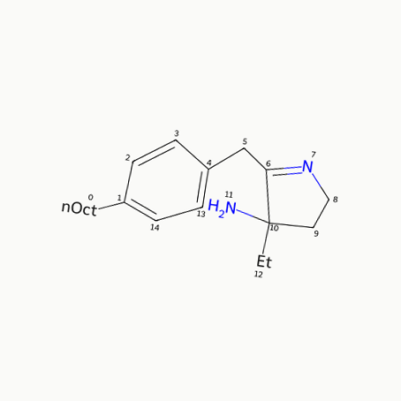 CCCCCCCCc1ccc(CC2=NCCC2(N)CC)cc1